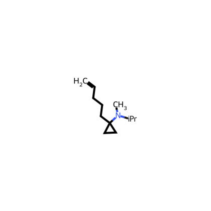 C=CCCCC1(N(C)C(C)C)CC1